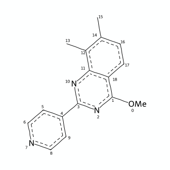 COc1nc(-c2ccncc2)nc2c(C)c(C)ccc12